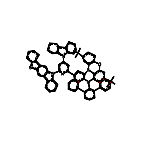 CC(C)(C)c1ccc2c(c1)B1c3cc(-c4cc(-n5c6ccccc6c6ccccc65)cc(-n5c6ccccc6c6cc7sc8ccccc8c7cc65)n4)ccc3N(c3c(-c4ccccc4)cccc3-c3ccccc3)c3cc(C(C)(C)C)cc(c31)O2